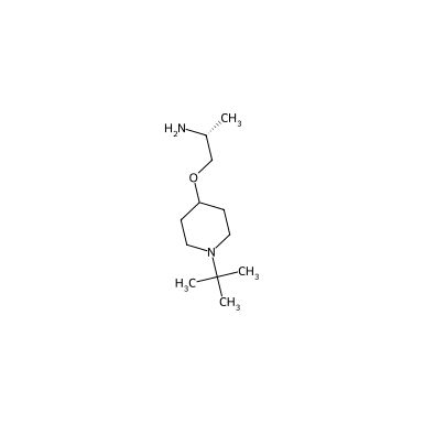 C[C@@H](N)COC1CCN(C(C)(C)C)CC1